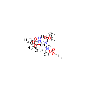 CCOC(=O)O[C@@H]1CC[C@@H](CN(CC(=O)OC(C)(C)C)CC(C)NC(C(=O)OC(C)(C)C)C(=O)OC(C)(C)C)N1Cc1ccccc1